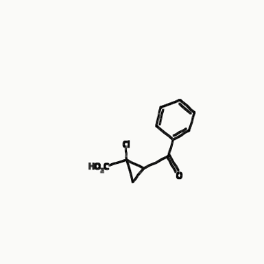 O=C(c1ccccc1)C1CC1(Cl)C(=O)O